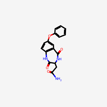 NC(=O)CC1NC(=O)c2cc(Oc3ccccc3)ccc2NC1=O